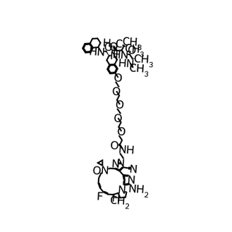 C=C1/C=C(F)\C=C/CC(=O)N(C2CC2)Cc2nn(CCNC(=O)CCOCCOCCOCCOCCOc3ccc4c(c3)CN(C(=O)[C@@H](NC(=O)[C@H](C)NC)C(C)(C)C)[C@H](C(=O)N[C@@H]3CCCc5ccccc53)C4)c(C#N)c2-c2cnc(N)c(c2)N2CCC[C@H]12